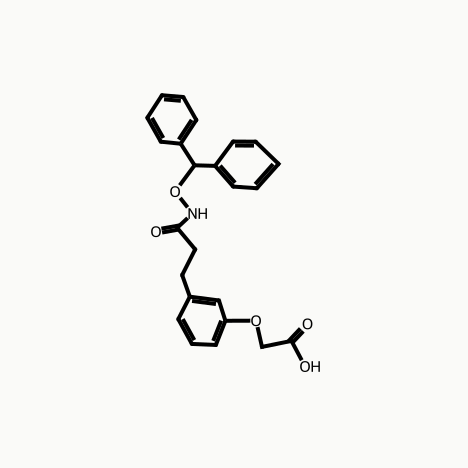 O=C(O)COc1cccc(CCC(=O)NOC(c2ccccc2)c2ccccc2)c1